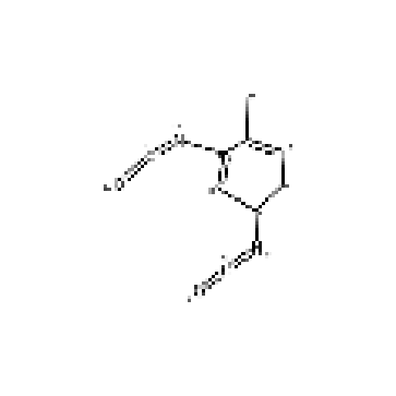 CC1=CCC(N=C=O)C=C1N=C=O